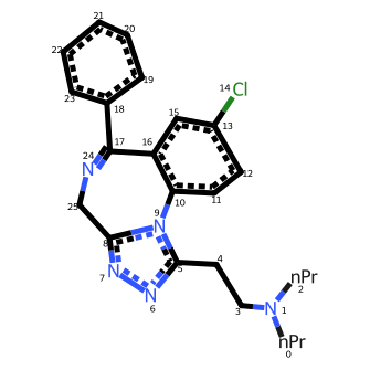 CCCN(CCC)CCc1nnc2n1-c1ccc(Cl)cc1C(c1ccccc1)=NC2